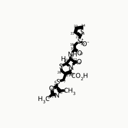 Cc1nc(C)c(SCC2=C(C(=O)O)N3C(=O)C(NC(=O)C[S+]([O-])c4cccs4)[C@@H]3SC2)o1